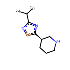 [2H]C([2H])c1nsc([C@@H]2CCCNC2)n1